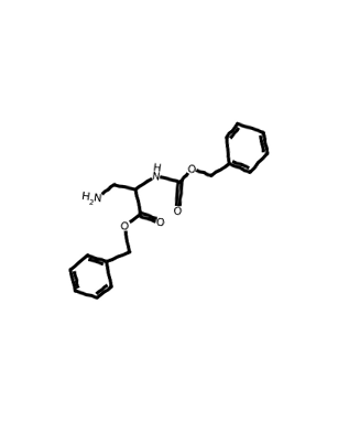 NCC(NC(=O)OCc1ccccc1)C(=O)OCc1ccccc1